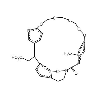 Cc1cc2ccc1C(=O)N1CCc3ccc(cc3C1)C(CC(=O)O)c1ccc(nc1)OCCCCCCO2